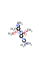 CCOC(=O)c1nc(-c2cc3cn(C)nc3c(C)c2OCOC)nc2ccc(N3CCC(N(C)C)CC3)cc12